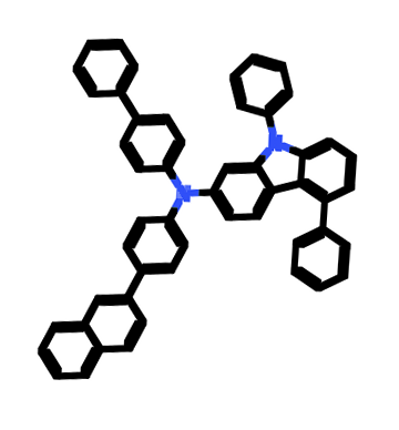 c1ccc(-c2ccc(N(c3ccc(-c4ccc5ccccc5c4)cc3)c3ccc4c5c(-c6ccccc6)cccc5n(-c5ccccc5)c4c3)cc2)cc1